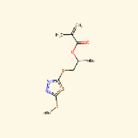 C=C(C)C(=O)OC(CCCC)CSc1nnc(SCCCC)s1